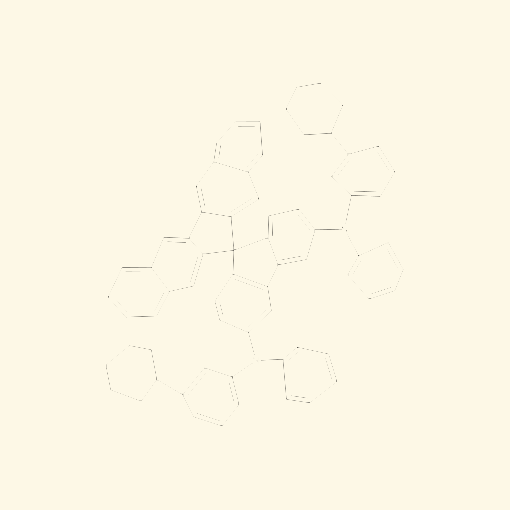 c1ccc(N(c2cccc(C3CCCCC3)c2)c2ccc3c(c2)-c2cc(N(c4ccccc4)c4cccc(C5CCCCC5)c4)ccc2C32c3cc4ccccc4cc3-c3cc4ccccc4cc32)cc1